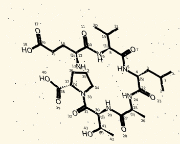 CC(C)C[C@H](NC(=O)[C@@H](NC(=O)[C@@H](N)CCC(=O)O)C(C)C)C(=O)N[C@@H](C)C(=O)N[C@H](C(=O)N1CCC[C@H]1C(=O)O)[C@@H](C)O